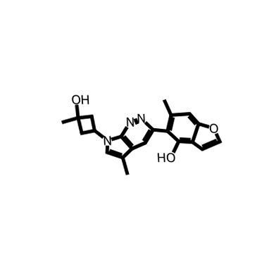 Cc1cc2occc2c(O)c1-c1cc2c(C)cn(C3CC(C)(O)C3)c2nn1